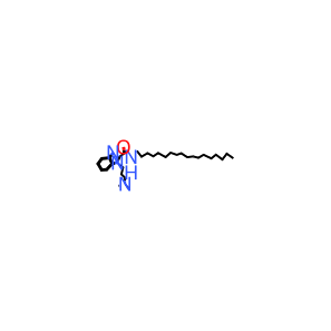 CCCCCCCCCCCCCCCCCCNC(=O)c1nc2ccccc2n1CCCN(C)C